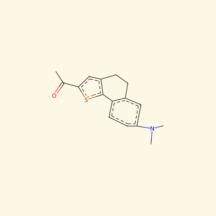 CC(=O)c1cc2c(s1)-c1ccc(N(C)C)cc1CC2